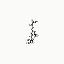 C=CC(=O)N(C)CCCCC(COP(=O)(O)O)[N+](C)(C)C